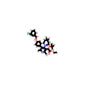 CCOC(=O)[C@@H](OC(C)(C)C)c1c(C)nc(C)c(-c2ccc(OCc3cccc(F)c3)cc2)c1N1CCC(C)(C)CC1